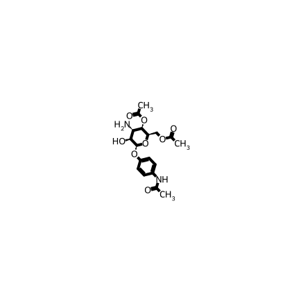 CC(=O)Nc1ccc(O[C@H]2O[C@H](COC(C)=O)[C@@H](OC(C)=O)[C@@H](N)[C@@H]2O)cc1